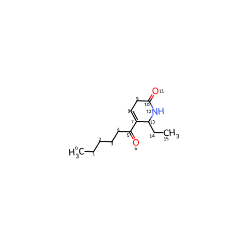 CCCCCC(=O)C1=CCC(=O)NC1CC